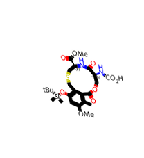 COC(=O)[C@@H]1CSCc2c(O[Si](C)(C)C(C)(C)C)cc(OC)c(C)c2C(=O)OC[C@H](NC(=O)O)C(=O)N1